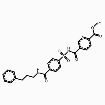 CC(C)OC(=O)c1ccc(C(=O)NS(=O)(=O)c2ccc(C(=O)NCCCc3ccccc3)cc2)cn1